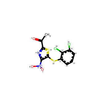 CC(=O)c1nc([N+](=O)[O-])c(Sc2cccc(Cl)c2Cl)s1